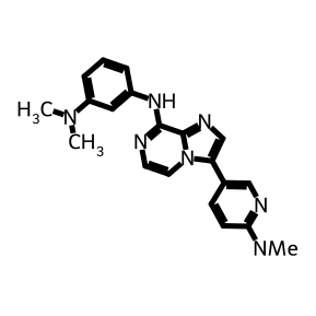 CNc1ccc(-c2cnc3c(Nc4cccc(N(C)C)c4)nccn23)cn1